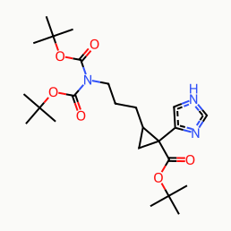 CC(C)(C)OC(=O)N(CCCC1CC1(C(=O)OC(C)(C)C)c1c[nH]cn1)C(=O)OC(C)(C)C